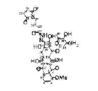 COc1cccc2c1C(=O)c1c(O)c3c(c(O)c1C2=O)C[C@@](O)(/C(CO)=N/NC(=O)CCCN1C(=O)C=CC1=O)C[C@@H]3O[C@H]1C[C@H](N)[C@H](O)[C@H](C)O1